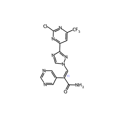 NC(=O)/C(=C/n1cnc(-c2cc(C(F)(F)F)nc(Cl)n2)n1)c1cncnc1